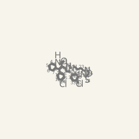 O=c1[nH]c2ccccc2c(-c2ccc(Cl)cc2)c1C1=NN(CCCc2noc(=S)[nH]2)[C@H](c2ccc(Cl)cc2)C1